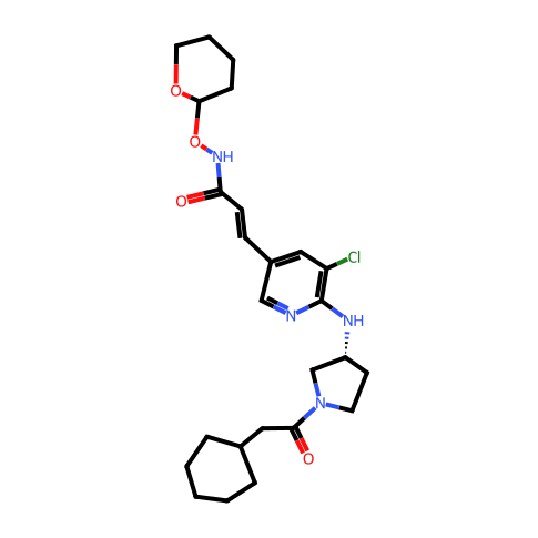 O=C(/C=C/c1cnc(N[C@@H]2CCN(C(=O)CC3CCCCC3)C2)c(Cl)c1)NOC1CCCCO1